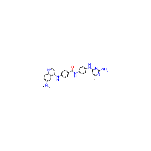 Cc1cc(Nc2ccc(NC(=O)c3ccc(Nc4ccnc5ccc(N(C)C)cc45)cc3)cc2)nc(N)n1